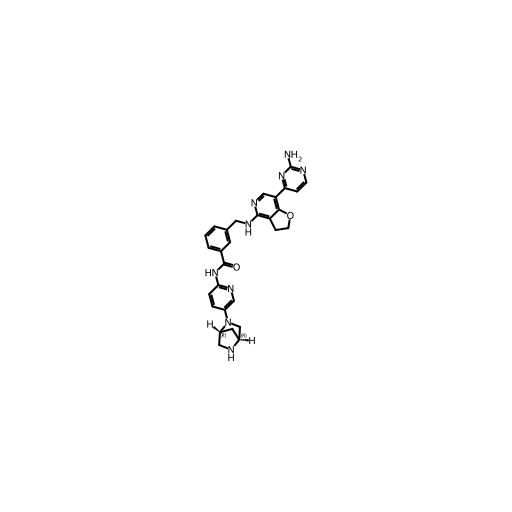 Nc1nccc(-c2cnc(NCc3cccc(C(=O)Nc4ccc(N5C[C@H]6C[C@@H]5CN6)cn4)c3)c3c2OCC3)n1